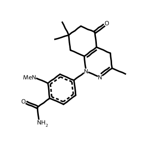 CNc1cc(N2N=C(C)CC3=C2CC(C)(C)CC3=O)ccc1C(N)=O